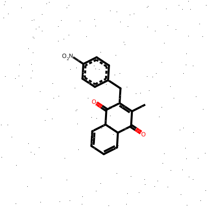 CC1=C(Cc2ccc([N+](=O)[O-])cc2)C(=O)C2C=CC=CC2C1=O